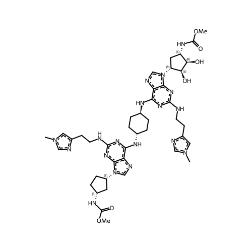 COC(=O)N[C@@H]1CC[C@H](n2cnc3c(N[C@H]4CC[C@H](Nc5nc(NCCc6cn(C)cn6)nc6c5ncn6[C@@H]5C[C@H](NC(=O)OC)[C@@H](O)[C@H]5O)CC4)nc(NCCc4cn(C)cn4)nc32)C1